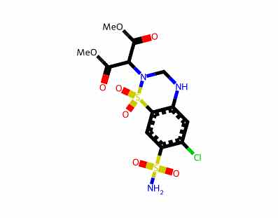 COC(=O)C(C(=O)OC)N1CNc2cc(Cl)c(S(N)(=O)=O)cc2S1(=O)=O